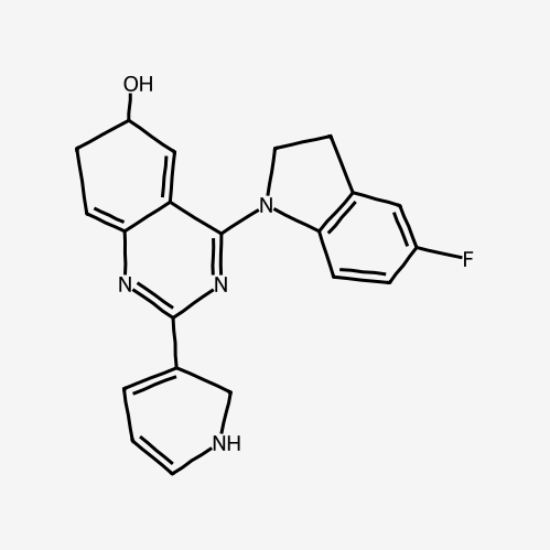 OC1C=c2c(N3CCc4cc(F)ccc43)nc(C3=CC=CNC3)nc2=CC1